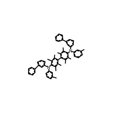 Cc1cccc(N(c2cccc(-c3ccccc3)c2)c2c(C)c(C)c(-c3c(C)c(C)c(N(c4cccc(C)c4)c4cccc(-c5ccccc5)c4)c(C)c3C)c(C)c2C)c1